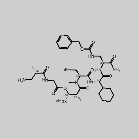 CCCCCC[C@H](OC(=O)CNC(=O)[C@@H](C)CN)[C@@H](C)C(=O)N(C)[C@@H](CC(C)C)C(=O)N[C@H](C(=O)N[C@@H](CNC(=O)OCc1ccccc1)C(N)=O)C1CCCCC1